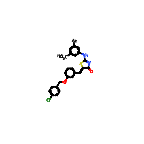 CC(=O)c1cc(NC2=NC(=O)/C(=C/c3cccc(OCc4ccc(Cl)cc4)c3)S2)cc(C(=O)O)c1